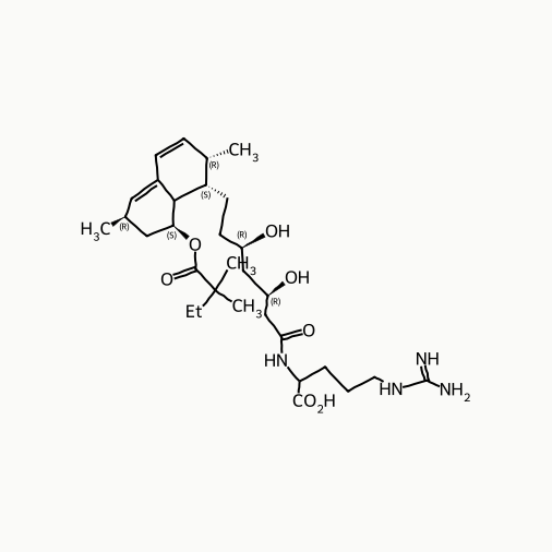 CCC(C)(C)C(=O)O[C@H]1C[C@@H](C)C=C2C=C[C@H](C)[C@H](CC[C@@H](O)C[C@@H](O)CC(=O)NC(CCCNC(=N)N)C(=O)O)C21